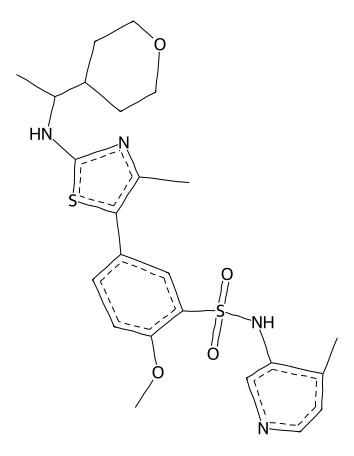 COc1ccc(-c2sc(NC(C)C3CCOCC3)nc2C)cc1S(=O)(=O)Nc1cnccc1C